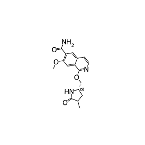 COc1cc2c(OC[C@@H]3CC(C)C(=O)N3)nccc2cc1C(N)=O